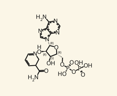 NC(=O)C1C=CC=NC1.Nc1ncnc2c1ncn2[C@@H]1O[C@H](COP(=O)(O)OP(=O)(O)O)[C@@H](O)[C@H]1O